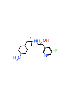 CC(C)(CC1CCC(N)CC1)NC[C@H](O)c1cncc(F)c1